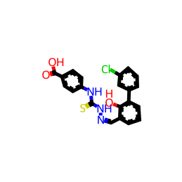 O=C(O)c1ccc(NC(=S)N/N=C\c2cccc(-c3cccc(Cl)c3)c2O)cc1